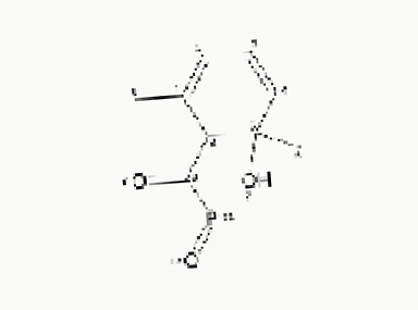 CC1=CC=CC(C)(O)C1C(=O)P=O